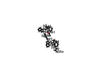 CN[C@@H](C)C(=S)N[C@H]1CCS[C@H]2CC(C)(C)C(C(=O)N[C@H]3c4ccccc4C[C@H]3OCCOCCO[C@@H]3Cc4ccccc4[C@@H]3NC(=O)[C@H]3N4C(=O)[C@@H](NC(=S)[C@H](C)NC)CCS[C@H]4CC3(C)C)N2C1=O